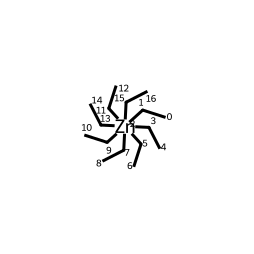 C[CH2][Zn]([CH2]C)([CH2]C)([CH2]C)([CH2]C)([CH2]C)([CH2]C)[CH2]C